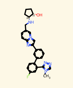 Cn1cnnc1-c1cc(F)ccc1-c1cccc(-c2cn3cc(CN[C@@H]4CCC[C@@H]4O)ccc3n2)c1